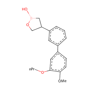 CCCOc1cc(-c2cccc(C3COB(O)C3)c2)ccc1OC